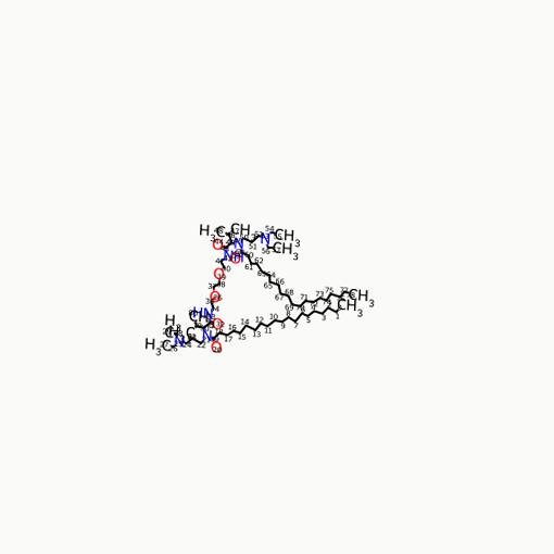 CCCCCCCCCCCCCCCCCCCC(=O)N(CCCN(CC)CC)C(C(=O)NCCOCCOCCNC(=O)C(C(C)C)N(CCCN(CC)CC)C(=O)CCCCCCCCCCCCCCCCCCC)C(C)C